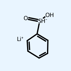 O=[SH-](O)c1ccccc1.[Li+]